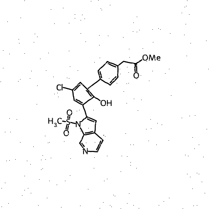 COC(=O)Cc1ccc(-c2cc(Cl)cc(-c3cc4ccncc4n3S(C)(=O)=O)c2O)cc1